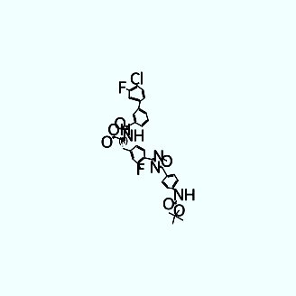 CC(C)(C)OC(=O)Nc1ccc(-c2nc(-c3ccc(C[C@@H](NC(=O)c4cccc(-c5ccc(Cl)c(F)c5)c4)C(=O)O)cc3F)no2)cc1